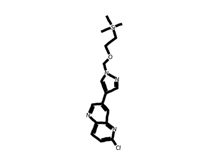 C[Si](C)(C)CCOCn1cc(-c2cnc3ccc(Cl)nc3c2)cn1